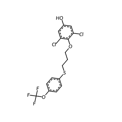 Oc1cc(Cl)c(OCCCSc2ccc(OC(F)(F)F)cc2)c(Cl)c1